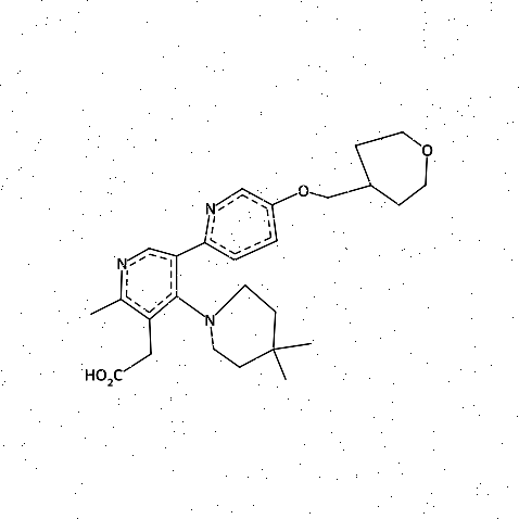 Cc1ncc(-c2ccc(OCC3CCOCC3)cn2)c(N2CCC(C)(C)CC2)c1CC(=O)O